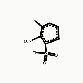 O=[N+]([O-])c1c(I)cccc1S(=O)(=O)Cl